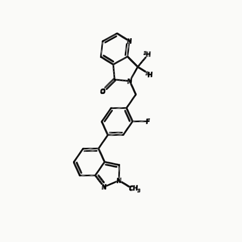 [2H]C1([2H])c2ncccc2C(=O)N1Cc1ccc(-c2cccc3nn(C)cc23)cc1F